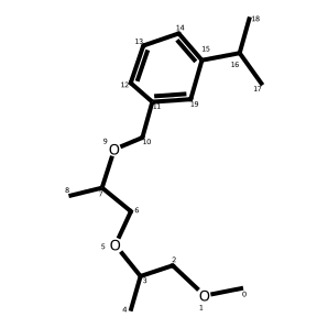 COCC(C)OCC(C)OCc1cccc(C(C)C)c1